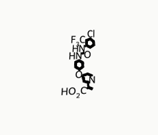 C=C(C(=O)O)c1cc(Oc2ccc(NC(=O)Nc3cccc(Cl)c3C(F)(F)F)cc2)ccn1